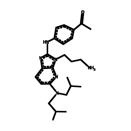 CC(=O)c1ccc(Nc2nc3ccc(N(CC(C)C)CC(C)C)nc3n2CCCN)cc1